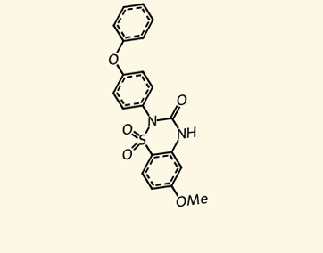 COc1ccc2c(c1)NC(=O)N(c1ccc(Oc3ccccc3)cc1)S2(=O)=O